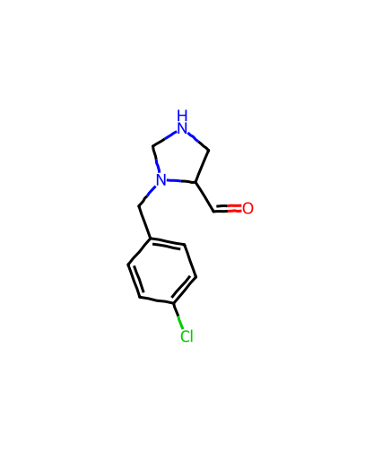 O=CC1CNCN1Cc1ccc(Cl)cc1